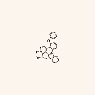 Brc1cc2c3ccccc3n3c2c2c(ccc(I)c12)C1C3=CC=C2c3ccccc3OC21